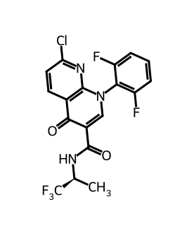 C[C@H](NC(=O)c1cn(-c2c(F)cccc2F)c2nc(Cl)ccc2c1=O)C(F)(F)F